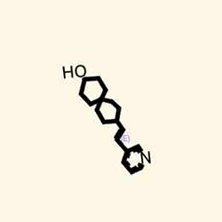 OC1CCC2(CC1)CCC(/C=C/c1cccnc1)CC2